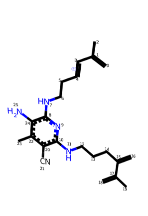 C=C(C)/C=C/CCNc1nc(NCCCC(=C)C(=C)C)c(C#N)c(C)c1N